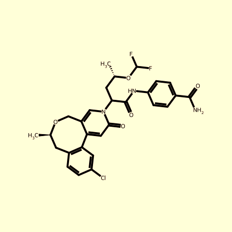 C[C@@H]1Cc2ccc(Cl)cc2-c2cc(=O)n(C(C[C@H](C)OC(F)F)C(=O)Nc3ccc(C(N)=O)cc3)cc2CO1